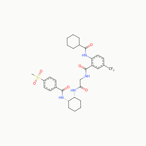 CS(=O)(=O)c1ccc(C(=O)N[C@H]2CCCC[C@H]2NC(=O)CNC(=O)c2cc(C(F)(F)F)ccc2NC(=O)C2CCCCC2)cc1